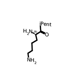 CCCC(C)C(=O)[C@H](N)CCCCN